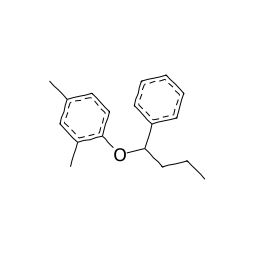 CCCC(Oc1ccc(C)cc1C)c1ccccc1